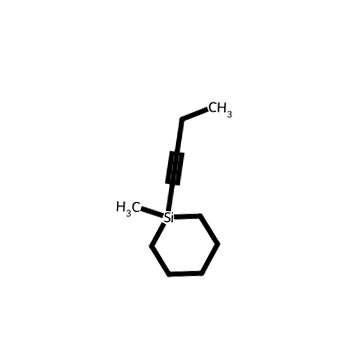 CCC#C[Si]1(C)CCCCC1